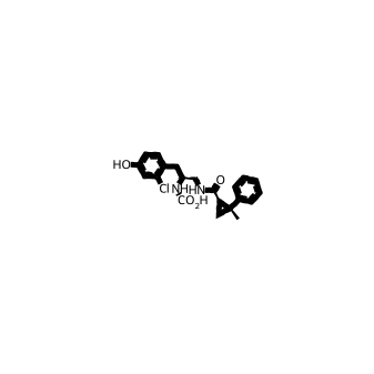 C[C@@]1(c2ccccc2)C[C@H]1C(=O)NC[C@H](Cc1ccc(O)cc1Cl)NC(=O)O